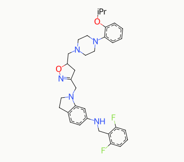 CC(C)Oc1ccccc1N1CCN(CC2CC(CN3CCc4ccc(NCc5c(F)cccc5F)cc43)=NO2)CC1